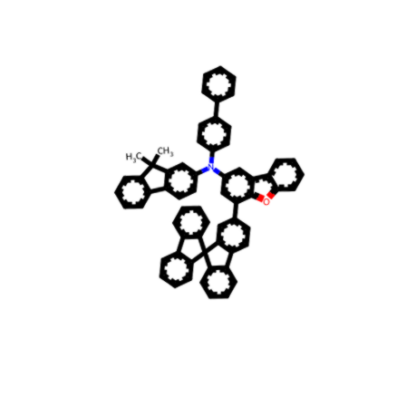 CC1(C)c2ccccc2-c2ccc(N(c3ccc(-c4ccccc4)cc3)c3cc(-c4ccc5c(c4)C4(c6ccccc6-c6ccccc64)c4ccccc4-5)c4oc5ccccc5c4c3)cc21